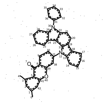 Cc1cc(C)c2c(=O)c3ccc(-n4c5ccccc5c5ccc6c(c7ccccc7n6-c6ccccc6)c54)cc3oc2c1